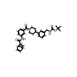 CC(C)(C)OC(=O)NCc1cccc(C2CCN(C(=O)c3cccc(NC(=O)C4CC5C=CC4C5)c3)CC2)c1